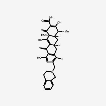 CN[C@@H]1C(O)=C(C(N)=O)C(=O)[C@@]2(O)C(O)=C3C(=O)c4c(O)cc(CN5CCc6ccccc6C5)c(Cl)c4C[C@H]3C[C@@H]12